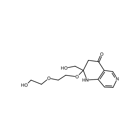 O=C1CC(CO)(OCCOCCO)Nc2ccncc21